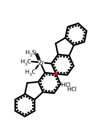 Cl.Cl.[CH3][Zr]([CH3])(=[SiH2])([c]1cccc2c1Cc1ccccc1-2)[c]1cccc2c1Cc1ccccc1-2